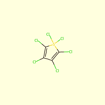 ClC1=C(Cl)S(Cl)(Cl)C(Cl)=C1Cl